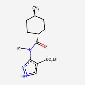 CCOC(=O)c1c[nH]nc1N(C(=O)[C@H]1CC[C@H](C)CC1)C(C)C